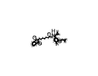 O=C(CCCCCCN1C(=O)c2ccccc2C1=O)CNC(c1ccc(F)c(OCC2CC2)c1)C1CC1